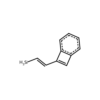 [SiH3]C=CC1=Cc2ccccc21